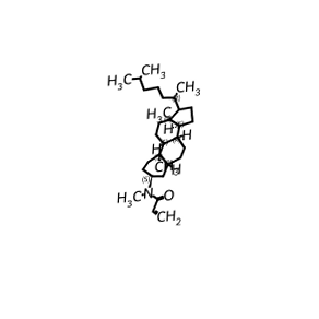 C=CC(=O)N(C)[C@H]1CC[C@@]2(C)[C@H](CC[C@@H]3[C@@H]2CC[C@]2(C)C([C@H](C)CCCC(C)C)CC[C@@H]32)C1